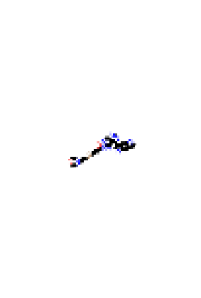 O=C(C=CCSCCCN1CCOCC1)Nc1cc2c(C3=CN=c4cc5c(cc43)=NCC5)ncnc2cn1